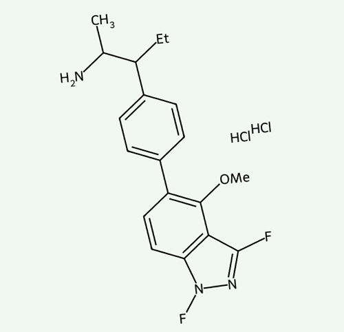 CCC(c1ccc(-c2ccc3c(c(F)nn3F)c2OC)cc1)C(C)N.Cl.Cl